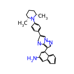 C[C@@H]1CCC[C@H](C)N1c1ccc(-c2cnc3c(-c4cc(N)cc5ccccc45)cnn3c2)cc1